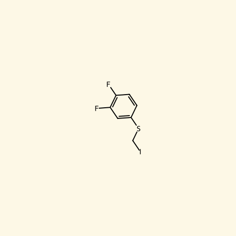 Fc1ccc(SCI)cc1F